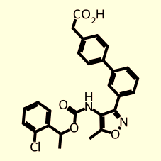 Cc1onc(-c2cccc(-c3ccc(CC(=O)O)cc3)c2)c1NC(=O)OC(C)c1ccccc1Cl